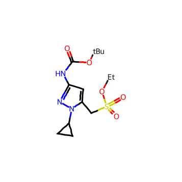 CCOS(=O)(=O)Cc1cc(NC(=O)OC(C)(C)C)nn1C1CC1